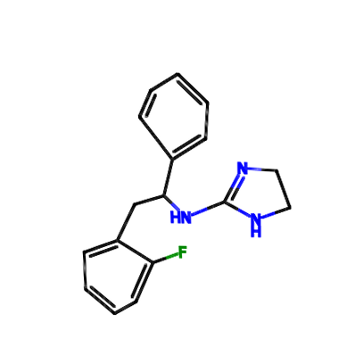 Fc1ccccc1CC(NC1=NCCN1)c1ccccc1